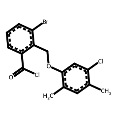 Cc1cc(C)c(OCc2c(Br)cccc2C(=O)Cl)cc1Cl